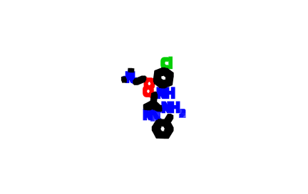 Cc1ccccc1-n1ncc(C(=O)Nc2ccc(Cl)cc2OCCN(C)C)c1N